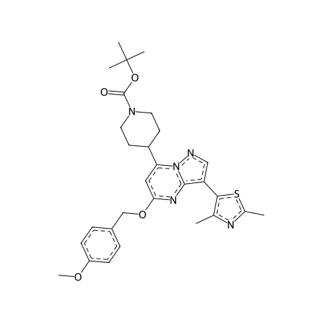 COc1ccc(COc2cc(C3CCN(C(=O)OC(C)(C)C)CC3)n3ncc(-c4sc(C)nc4C)c3n2)cc1